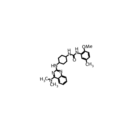 COc1ccc(C)cc1NC(=O)NC1CCC(Nc2nc(N(C)C)c3ccccc3n2)CC1